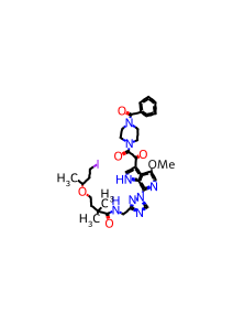 COc1cnc(-n2cnc(CNC(=O)C(C)(C)CCOC(C)CCI)n2)c2[nH]cc(C(=O)C(=O)N3CCN(C(=O)c4ccccc4)CC3)c12